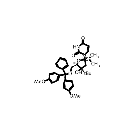 COc1ccc(C(OC[C@H]2O[C@](n3ccc(=O)[nH]c3=O)([SiH](C)C)C[C@@]2(O)C(C)(C)C)(c2ccccc2)c2ccc(OC)cc2)cc1